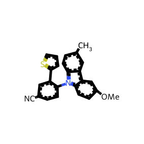 COc1ccc2c(c1)c1cc(C)ccc1n2-c1ccc(C#N)cc1-c1cccs1